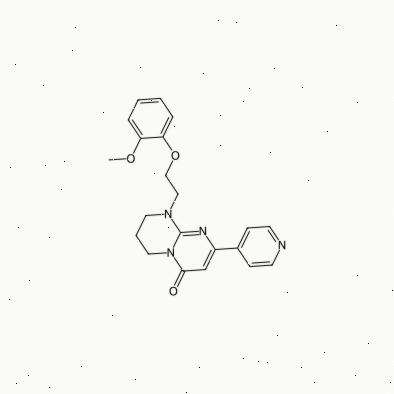 COc1ccccc1OCCN1CCCn2c1nc(-c1ccncc1)cc2=O